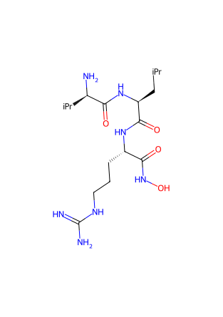 CC(C)C[C@H](NC(=O)[C@H](N)C(C)C)C(=O)N[C@@H](CCCNC(=N)N)C(=O)NO